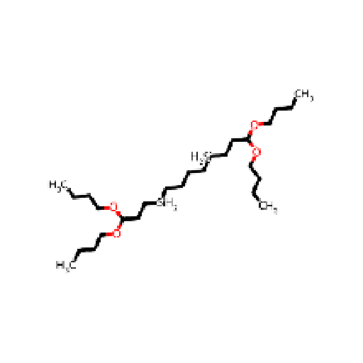 CCCCOC(CC[SiH2]CCCC[SiH2]CCC(OCCCC)OCCCC)OCCCC